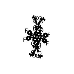 C=C(C)C(=O)OCCN(CCOC(=O)C(=C)C)C(=O)C(C(C)C)N1C(=O)c2cc(Oc3ccc(F)cc3)c3c4c(Oc5ccc(F)cc5)cc5c6c(cc(Oc7ccc(F)cc7)c(c7c(Oc8ccc(F)cc8)cc(c2c37)C1=O)c64)C(=O)N(C(C(=O)N(CCOC(=O)C(=C)C)CCOC(=O)C(=C)C)C(C)C)C5=O